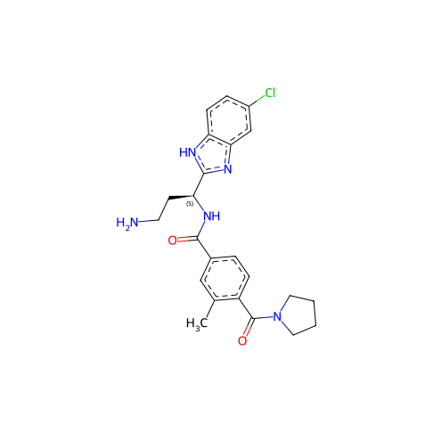 Cc1cc(C(=O)N[C@@H](CCN)c2nc3cc(Cl)ccc3[nH]2)ccc1C(=O)N1CCCC1